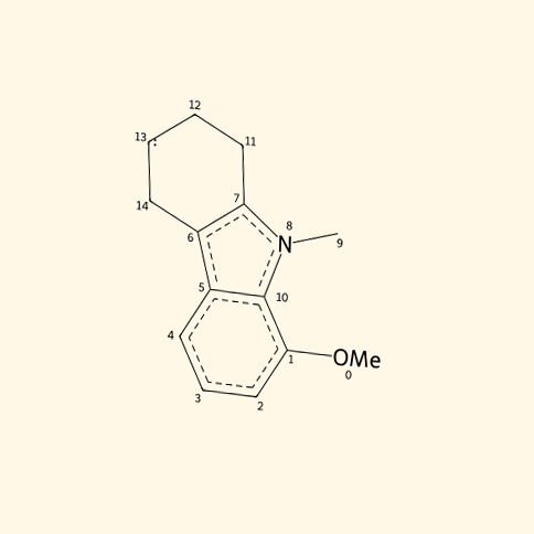 COc1cccc2c3c(n(C)c12)CC[C]C3